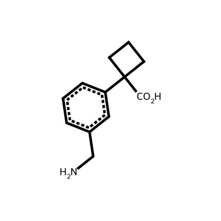 NCc1cccc(C2(C(=O)O)CCC2)c1